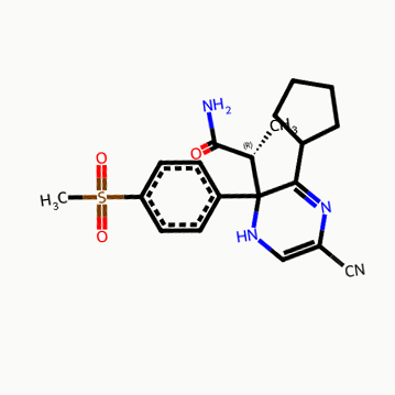 C[C@@H](C(N)=O)C1(c2ccc(S(C)(=O)=O)cc2)NC=C(C#N)N=C1C1CCCC1